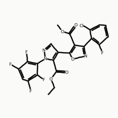 CCOC(=O)c1c(-c2onc(-c3c(F)cccc3Cl)c2C(=O)OC)cnn1-c1c(F)c(F)cc(F)c1F